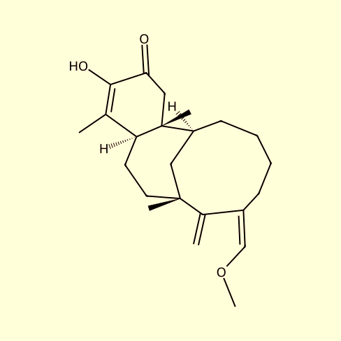 C=C1/C(=C\OC)CCCC[C@H]2C[C@@]1(C)CC[C@H]1C(C)=C(O)C(=O)C[C@]21C